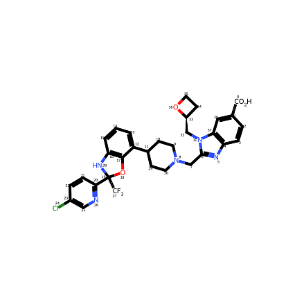 O=C(O)c1ccc2nc(CN3CCC(c4cccc5c4OC(c4ccc(Cl)cn4)(C(F)(F)F)N5)CC3)n(C[C@@H]3CCO3)c2c1